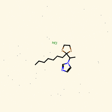 CCCCCCCC1(C(C)n2ccnc2)SCCS1.Cl